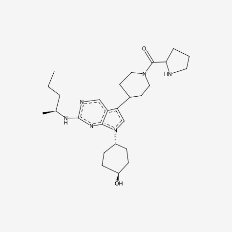 CCC[C@H](C)Nc1ncc2c(C3CCN(C(=O)C4CCCN4)CC3)cn([C@H]3CC[C@H](O)CC3)c2n1